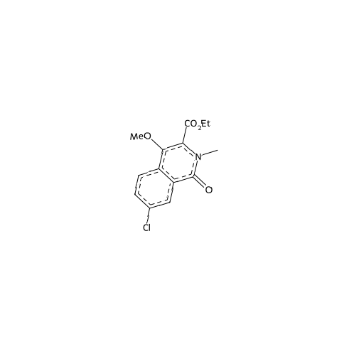 CCOC(=O)c1c(OC)c2ccc(Cl)cc2c(=O)n1C